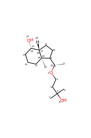 C[C@H](OCCC(C)(C)O)C1CC[C@H]2[C@@H](O)CCC[C@]12C